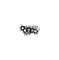 CCCN1c2ccccc2C(C)(C)C12C=Cc1c(ccc3ccccc13)O2